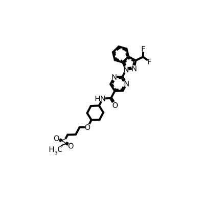 CS(=O)(=O)CCCOC1CCC(NC(=O)c2cnc(-n3nc(C(F)F)c4ccccc43)nc2)CC1